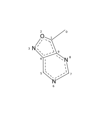 Cc1onc2cncnc12